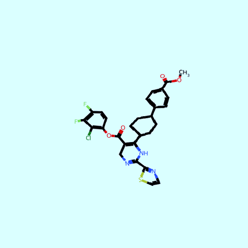 COC(=O)c1ccc(C2CCC(C3=C(C(=O)Oc4ccc(F)c(F)c4Cl)CN=C(c4nccs4)N3)CC2)cc1